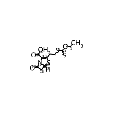 CCOC(=S)SCCC1=C(C(=O)O)N2C(=O)C[C@H]2S1